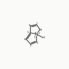 C[N+]12C=CC=C1C=CC2